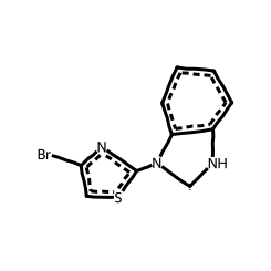 Brc1csc(N2[CH]Nc3ccccc32)n1